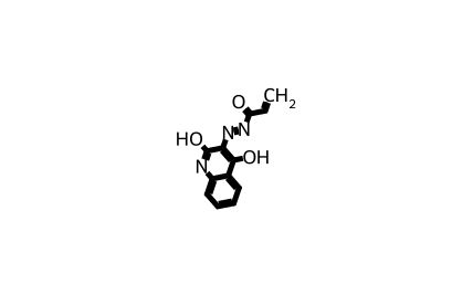 C=CC(=O)N=Nc1c(O)nc2ccccc2c1O